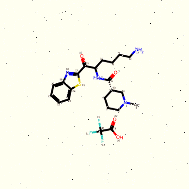 CC(=O)N1CCC[C@H](C(=O)NC(CCCCN)C(=O)c2nc3ccccc3s2)C1.O=C(O)C(F)(F)F